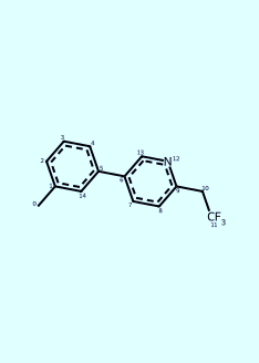 Cc1cccc(-c2ccc(CC(F)(F)F)nc2)c1